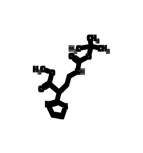 COC(=O)C(CCNC(=O)OC(C)(C)C)c1nccs1